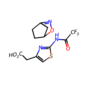 C1CC2CC1=NO2.O=C(O)Cc1csc(NC(=O)C(F)(F)F)n1